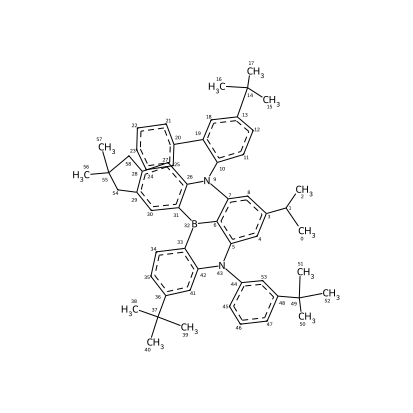 CC(C)c1cc2c3c(c1)N(c1ccc(C(C)(C)C)cc1-c1ccccc1)c1cc4c(cc1B3c1ccc(C(C)(C)C)cc1N2c1cccc(C(C)(C)C)c1)CC(C)(C)C4